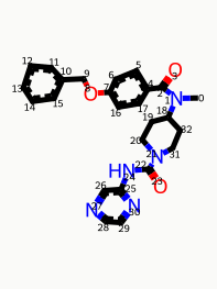 CN(C(=O)c1ccc(OCc2ccccc2)cc1)C1CCN(C(=O)Nc2cnccn2)CC1